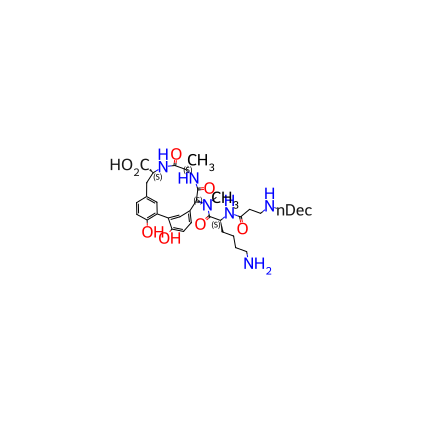 CCCCCCCCCCNCCC(=O)N[C@@H](CCCCN)C(=O)N(C)[C@@H]1C(=O)N[C@@H](C)C(=O)N[C@H](C(=O)O)Cc2ccc(O)c(c2)-c2cc1ccc2O